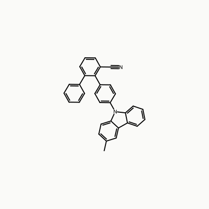 Cc1ccc2c(c1)c1ccccc1n2-c1ccc(-c2c(C#N)cccc2-c2ccccc2)cc1